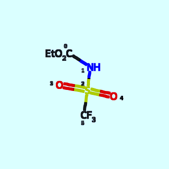 CCOC(=O)NS(=O)(=O)C(F)(F)F